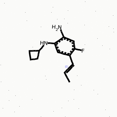 C/C=C/c1cc(NC2CCC2)c(N)cc1F